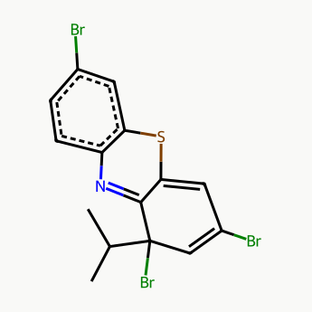 CC(C)C1(Br)C=C(Br)C=C2Sc3cc(Br)ccc3N=C21